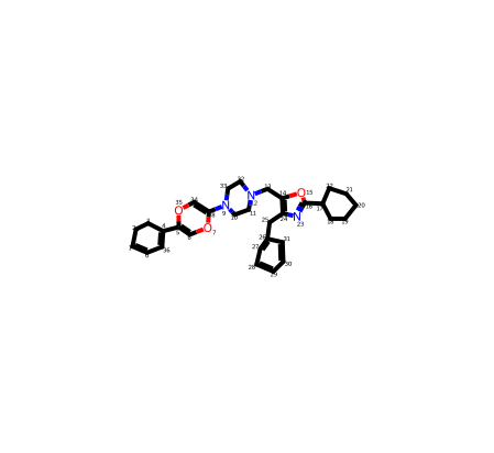 C1=CCCC(C2=COC(N3CCN(Cc4oc(C5CCCCC5)nc4Cc4ccccc4)CC3)=CO2)=C1